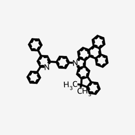 CC1(C)c2ccccc2-c2cc3c4c5c6ccccc6c6ccccc6c5ccc4n(-c4ccc(-c5cc(-c6ccccc6)cc(-c6ccccc6)n5)cc4)c3cc21